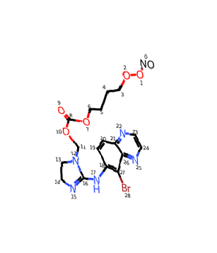 O=NOOCCCCOC(=O)OCN1CCN=C1Nc1ccc2nccnc2c1Br